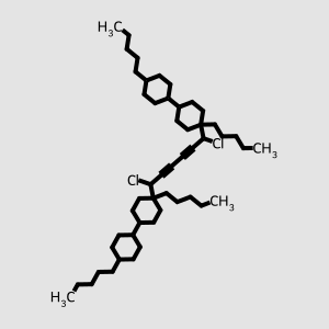 CCCCCC1CCC(C2CCC(CCCCC)(C(Cl)C#CC#CC(Cl)C3(CCCCC)CCC(C4CCC(CCCCC)CC4)CC3)CC2)CC1